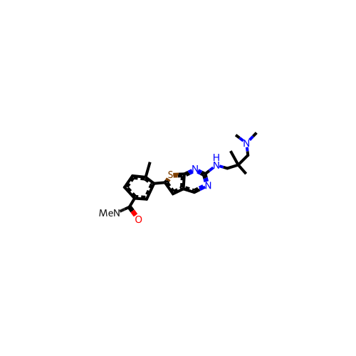 CNC(=O)c1ccc(C)c(-c2cc3cnc(NCC(C)(C)CN(C)C)nc3s2)c1